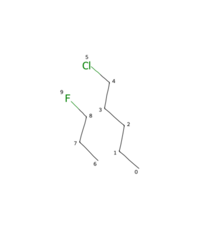 CCCCCCl.CCCF